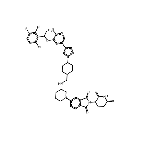 CC(Oc1cc(-c2cnn(C3CCC(CN[C@H]4CCCN(c5ccc6c(c5)C(=O)N(C5CCC(=O)NC5=O)C6=O)C4)CC3)c2)cnc1N)c1c(Cl)ccc(F)c1Cl